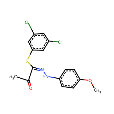 COc1ccc(N/N=C(/Sc2cc(Cl)cc(Cl)c2)C(C)=O)cc1